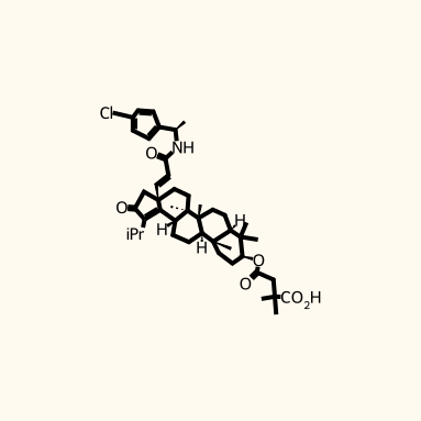 CC(C)C1=C2[C@H]3CC[C@@H]4[C@@]5(C)CC[C@H](OC(=O)CC(C)(C)C(=O)O)C(C)(C)[C@@H]5CC[C@@]4(C)[C@]3(C)CC[C@@]2(C=CC(=O)N[C@H](C)c2ccc(Cl)cc2)CC1=O